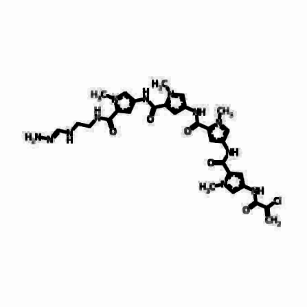 C=C(Cl)C(=O)Nc1cc(C(=O)Nc2cc(C(=O)Nc3cc(C(=O)Nc4cc(C(=O)NCCNC=NN)n(C)c4)n(C)c3)n(C)c2)n(C)c1